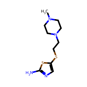 CN1CCN(CCSc2cnc(N)s2)CC1